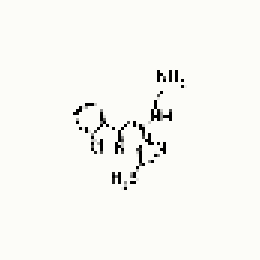 Bc1cnn2c(NCCN)cc(-c3ccccc3Cl)nc12